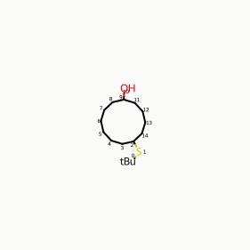 CC(C)(C)SC1CCCCCCC(O)CCCC1